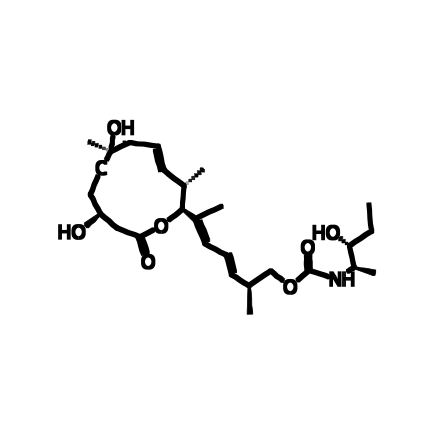 CC[C@@H](O)[C@@H](C)NC(=O)OC[C@@H](C)/C=C/C=C(\C)[C@H]1OC(=O)C[C@@H](O)CC[C@@](C)(O)[CH]/C=C/[C@@H]1C